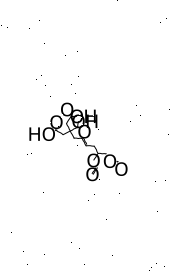 O=COCC(C/C=C/CC(CC(=O)O)(CC(=O)O)C(=O)O)OC=O